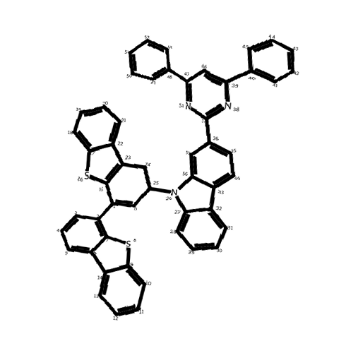 C1=C(c2cccc3c2sc2ccccc23)c2sc3ccccc3c2CC1n1c2ccccc2c2ccc(-c3nc(-c4ccccc4)cc(-c4ccccc4)n3)cc21